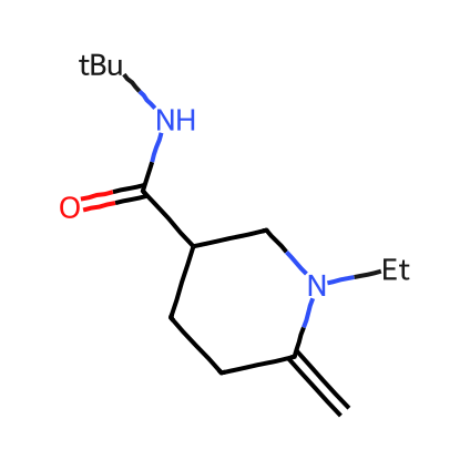 C=C1CCC(C(=O)NC(C)(C)C)CN1CC